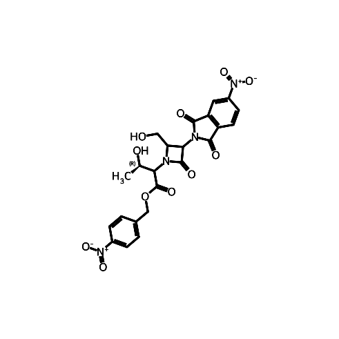 C[C@@H](O)C(C(=O)OCc1ccc([N+](=O)[O-])cc1)N1C(=O)C(N2C(=O)c3ccc([N+](=O)[O-])cc3C2=O)C1CO